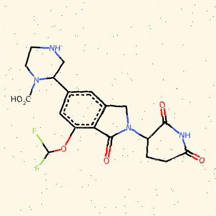 O=C1CCC(N2Cc3cc(C4CNCCN4C(=O)O)cc(OC(F)F)c3C2=O)C(=O)N1